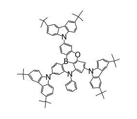 CC(C)(C)c1ccc2c(c1)c1cc(C(C)(C)C)ccc1n2-c1ccc2c(c1)Oc1cc(-n3c4ccc(C(C)(C)C)cc4c4cc(C(C)(C)C)ccc43)cc3c1B2c1ccc(-n2c4ccc(C(C)(C)C)cc4c4cc(C(C)(C)C)ccc42)cc1N3c1ccccc1